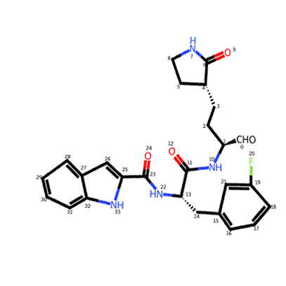 O=C[C@H](CC[C@@H]1CCNC1=O)NC(=O)[C@H](Cc1cccc(F)c1)NC(=O)c1cc2ccccc2[nH]1